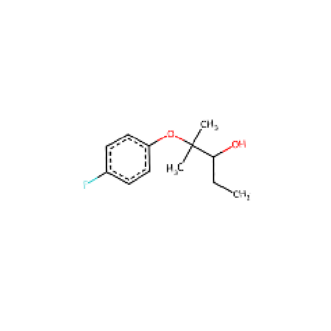 [CH2]CC(O)C(C)(C)Oc1ccc(F)cc1